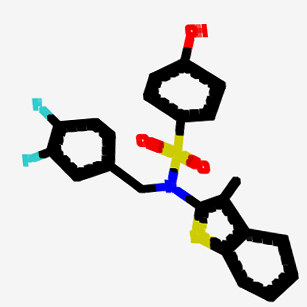 Cc1c(N(Cc2ccc(F)c(F)c2)S(=O)(=O)c2ccc(O)cc2)sc2ccccc12